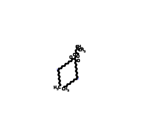 CCCCCCCC/C=C\CCCCCCCC(=O)C(C(=O)CCCCCCC/C=C\CCCCCCCC)C1OCC(CN(C)C)O1